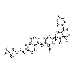 O=C(Nc1ccccc1)C1(C(=O)Nc2ccc(Oc3ccnc4cc(OCCCC5(O)CC5)ccc34)c(F)c2)CC1